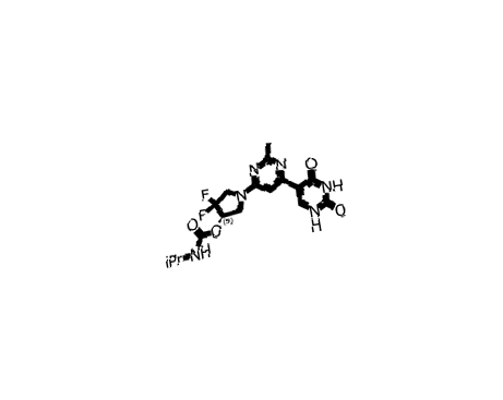 Cc1nc(-c2c[nH]c(=O)[nH]c2=O)cc(N2C[C@H](OC(=O)NC(C)C)C(F)(F)C2)n1